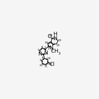 Cn1c(-c2ccnc(-c3cccc(Cl)c3)n2)cc2c1CCNC2=O